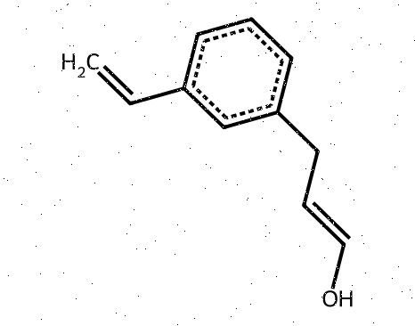 C=Cc1cccc(CC=CO)c1